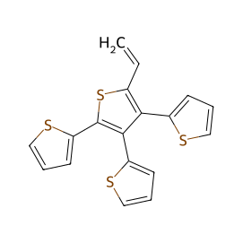 C=Cc1sc(-c2cccs2)c(-c2cccs2)c1-c1cccs1